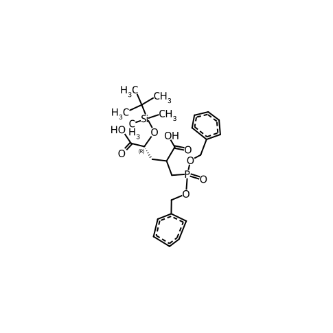 CC(C)(C)[Si](C)(C)O[C@H](CC(CP(=O)(OCc1ccccc1)OCc1ccccc1)C(=O)O)C(=O)O